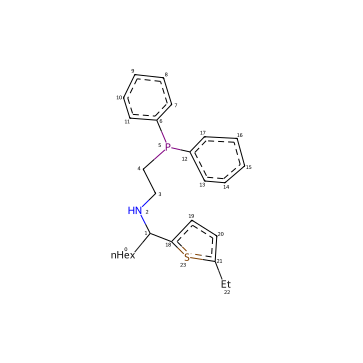 CCCCCCC(NCCP(c1ccccc1)c1ccccc1)c1ccc(CC)s1